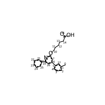 Cc1cccc(-c2cc(OCCCCCC(=O)O)nc(-c3ccccc3)c2)c1